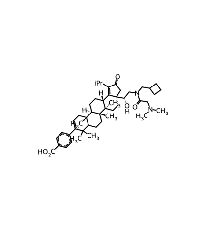 CC(C)C1=C2[C@H]3CC[C@@H]4[C@@]5(C)CC=C(c6ccc(C(=O)O)cc6)C(C)(C)C5CC[C@@]4(C)[C@]3(C)CC[C@@]2([C@@H](O)CN(CC2CCC2)C(=O)CN(C)C)CC1=O